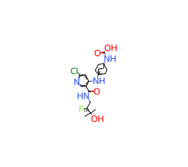 CC(C)(O)[C@@H](F)CNC(=O)c1cnc(Cl)cc1NC12CCC(NC(=O)O)(CC1)CC2